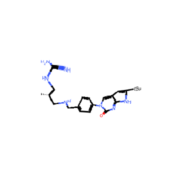 C[C@@H](CNCc1ccc(-n2cc3cc(C(C)(C)C)[nH]c3nc2=O)cc1)CNC(=N)N